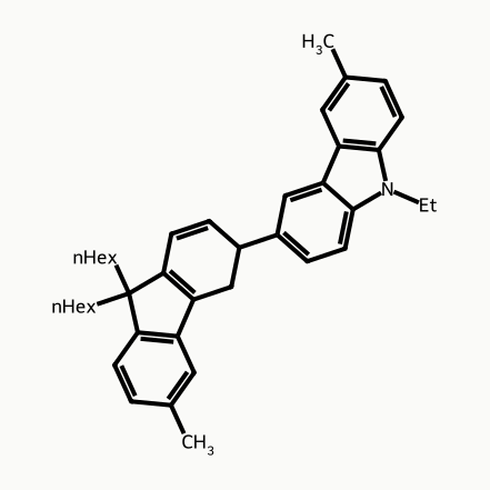 CCCCCCC1(CCCCCC)C2=C(CC(c3ccc4c(c3)c3cc(C)ccc3n4CC)C=C2)c2cc(C)ccc21